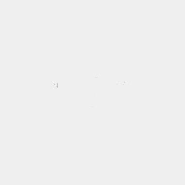 CC(=O)OCC(F)(F)c1ccncc1